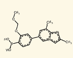 COCOc1cc(-c2cc(C)c3nc(C)cn3c2)ccc1B(O)O